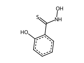 ONC(=S)c1ccccc1O